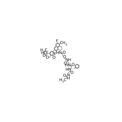 CCC(=O)NCC(=O)N[C@@H](Cc1ccccc1)C(=O)NCC(=O)NCOCC(=O)N[C@H]1CCc2c(C)c(F)cc3cc4c(c1c23)Cn1c-4cc2c(c1=O)COC(=O)[C@]2(O)CC